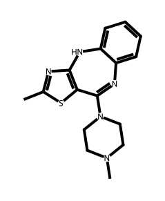 Cc1nc2c(s1)C(N1CCN(C)CC1)=Nc1ccccc1N2